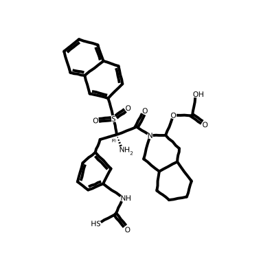 N[C@@](Cc1cccc(NC(=O)S)c1)(C(=O)N1CC2CCCCC2CC1OC(=O)O)S(=O)(=O)c1ccc2ccccc2c1